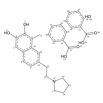 Cc1c(O)c(O)cc2ccc(CCN3CCCC3)cc12.Cl.O=C(O)c1ccccc1.O=C(O)c1ccccc1